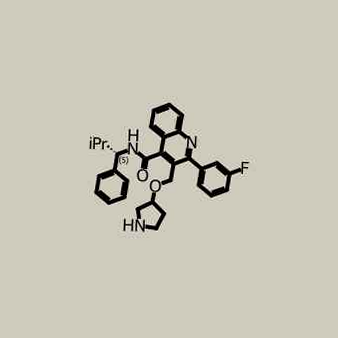 CC(C)[C@H](NC(=O)c1c(COC2CCNC2)c(-c2cccc(F)c2)nc2ccccc12)c1ccccc1